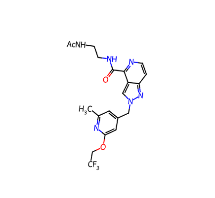 CC(=O)NCCNC(=O)c1nccc2nn(Cc3cc(C)nc(OCC(F)(F)F)c3)cc12